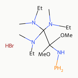 Br.CCN(C)C(N(C)CC)(N(C)CC)C(NP)(OC)OC